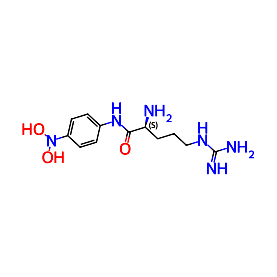 N=C(N)NCCC[C@H](N)C(=O)Nc1ccc(N(O)O)cc1